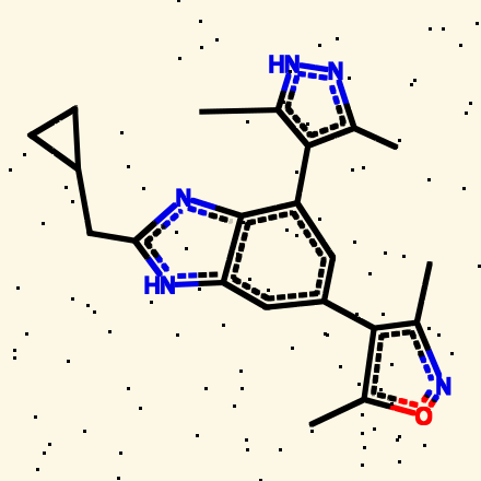 Cc1n[nH]c(C)c1-c1cc(-c2c(C)noc2C)cc2[nH]c(CC3CC3)nc12